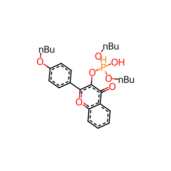 CCCCOc1ccc(-c2oc3ccccc3c(=O)c2O[PH](O)(OCCCC)OCCCC)cc1